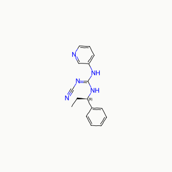 CC[C@@H](NC(=NC#N)Nc1cccnc1)c1ccccc1